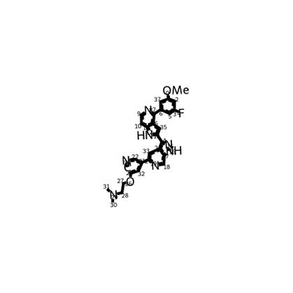 COc1cc(F)cc(-c2nccc3[nH]c(-c4n[nH]c5cnc(-c6cncc(OCCN(C)C)c6)cc45)cc23)c1